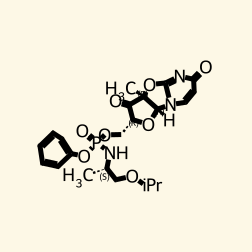 CC(C)OC[C@H](C)NP(=O)(OC[C@H]1O[C@H]2n3ccc(=O)nc3O[C@@]2(C)C1=O)Oc1ccccc1